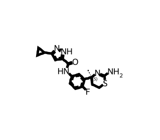 C[C@@]1(c2cc(NC(=O)c3cc(C4CC4)n[nH]3)ccc2F)CCSC(N)=N1